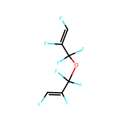 F/C=C(\F)C(F)(F)OC(F)(F)/C(F)=C/F